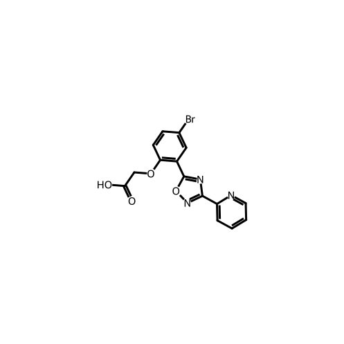 O=C(O)COc1ccc(Br)cc1-c1nc(-c2ccccn2)no1